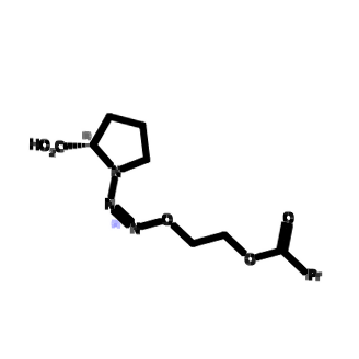 CC(C)C(=O)OCCO/N=N\N1CCC[C@H]1C(=O)O